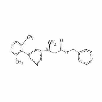 Cc1cccc(C)c1-c1cncc([C@@H](N)CC(=O)OCc2ccccc2)c1